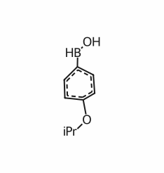 CC(C)Oc1ccc(BO)cc1